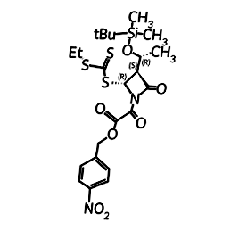 CCSC(=S)S[C@@H]1[C@@H]([C@@H](C)O[Si](C)(C)C(C)(C)C)C(=O)N1C(=O)C(=O)OCc1ccc([N+](=O)[O-])cc1